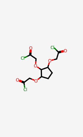 O=C(Cl)COC1CCC(OCC(=O)Cl)C1OCC(=O)Cl